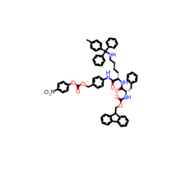 Cc1ccc(C(NCCCC[C@H](NC(=O)[C@H](Cc2ccccc2)NC(=O)OCC2c3ccccc3-c3ccccc32)C(=O)Nc2ccc(COC(=O)Oc3ccc([N+](=O)[O-])cc3)cc2)(c2ccccc2)c2ccccc2)cc1